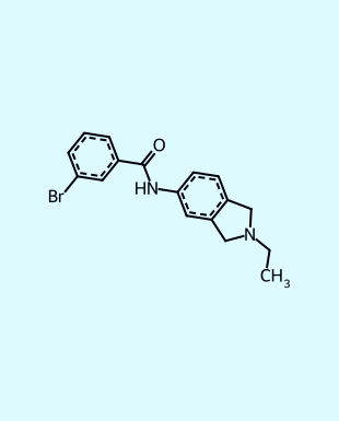 CCN1Cc2ccc(NC(=O)c3cccc(Br)c3)cc2C1